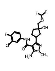 Cn1nc(C2CCC(O)(COC(F)F)C2)c(C(=O)Nc2ccc(F)c(Cl)c2)c1N